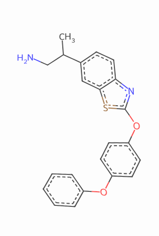 CC(CN)c1ccc2nc(Oc3ccc(Oc4ccccc4)cc3)sc2c1